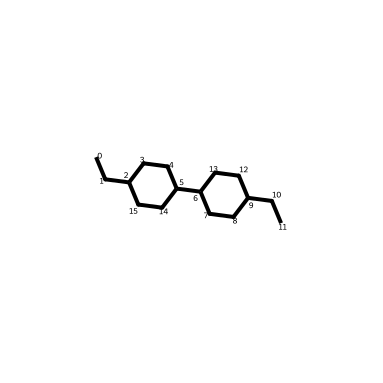 CCC1CCC(C2CCC(CC)CC2)CC1